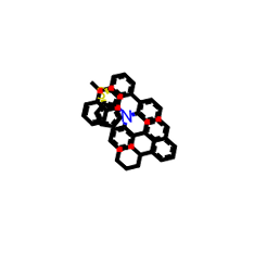 CC1C=CC(N(c2ccccc2-c2cccc3cccc(C4CCCCC4)c23)c2ccccc2-c2cccc3sc4ccccc4c23)=C2C=CC=CC21